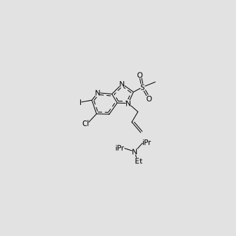 C=CCn1c(S(C)(=O)=O)nc2nc(I)c(Cl)cc21.CCN(C(C)C)C(C)C